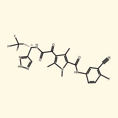 Cc1c(C(=O)C(=O)N[C@@H](CC(F)(F)F)c2cn[nH]n2)c(C)n(C)c1C(=O)Nc1ccc(F)c(C#N)c1